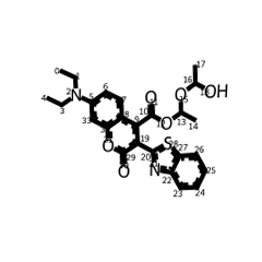 CCN(CC)c1ccc2c(C(=O)OC(C)OC(C)O)c(-c3nc4ccccc4s3)c(=O)oc2c1